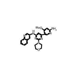 COc1cc(N)ncc1-c1cc(Nc2cnc3ccccc3c2)nc(N2CCOCC2)n1